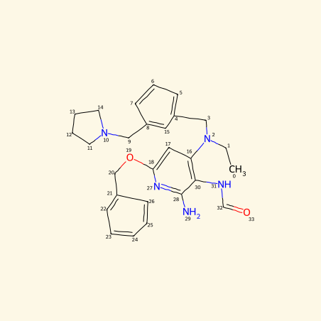 CCN(Cc1cccc(CN2CCCC2)c1)c1cc(OCc2ccccc2)nc(N)c1NC=O